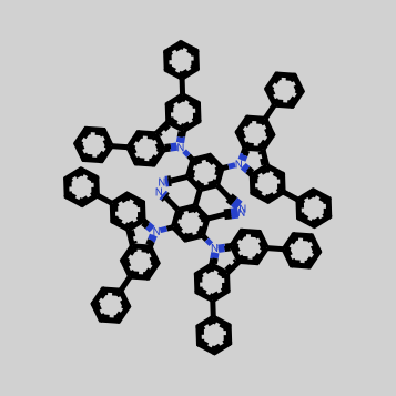 N#Cc1c(-n2c3ccc(-c4ccccc4)cc3c3cc(-c4ccccc4)ccc32)cc(-n2c3ccc(-c4ccccc4)cc3c3cc(-c4ccccc4)ccc32)c(C#N)c1-c1c(C#N)c(-n2c3ccc(-c4ccccc4)cc3c3cc(-c4ccccc4)ccc32)cc(-n2c3ccc(-c4ccccc4)cc3c3cc(-c4ccccc4)ccc32)c1C#N